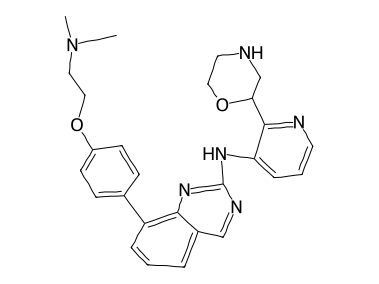 CN(C)CCOc1ccc(-c2cccc3cnc(Nc4cccnc4C4CNCCO4)nc23)cc1